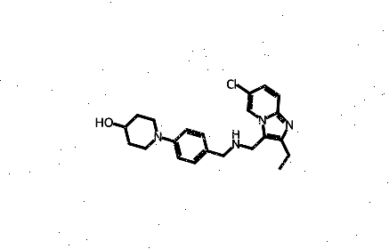 CCc1nc2ccc(Cl)cn2c1CNCc1ccc(N2CCC(O)CC2)cc1